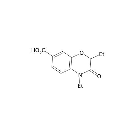 CCC1Oc2cc(C(=O)O)ccc2N(CC)C1=O